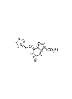 CCOC(=O)c1coc2c(OC[C@H]3CCCO3)cc(Br)cc12